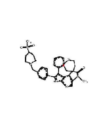 CN1C(=O)C2(CCOCC2)c2c1cnc1[nH]c(-c3ccc(CN4CCC(S(C)(=O)=O)CC4)cc3)c(-c3ccccc3)c21